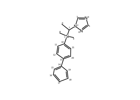 CC(n1cncn1)[Si](C)(C)c1ccc(-c2ccccc2)cc1